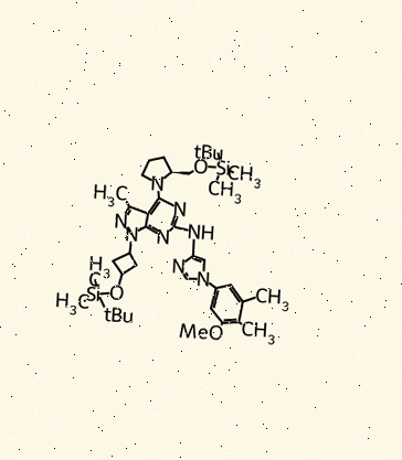 COc1cc(-n2cnc(Nc3nc(N4CCC[C@H]4CO[Si](C)(C)C(C)(C)C)c4c(C)nn(C5CC(O[Si](C)(C)C(C)(C)C)C5)c4n3)c2)cc(C)c1C